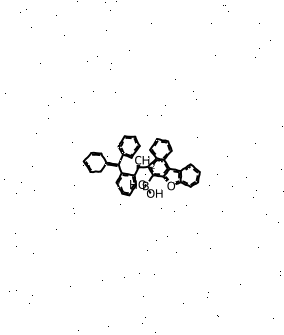 C=C(c1ccccc1/C(=C1/C=CC=CC1)c1ccccc1)c1c(B(O)O)c2oc3ccccc3c2c2ccccc12